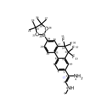 CN/C=C(\N)c1ccc2c(c1)C(F)(F)C(F)(F)c1cc(B3OC(C)(C)C(C)(C)O3)ccc1-2